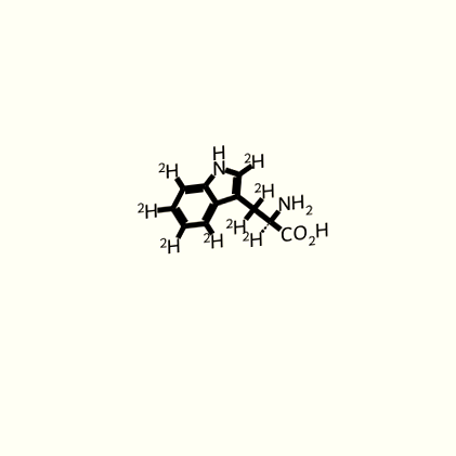 [2H]c1[nH]c2c([2H])c([2H])c([2H])c([2H])c2c1C([2H])([2H])[C@@]([2H])(N)C(=O)O